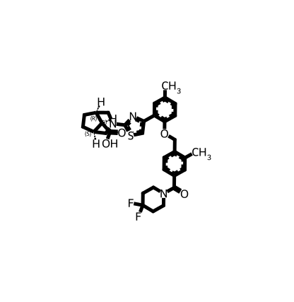 Cc1ccc(OCc2ccc(C(=O)N3CCC(F)(F)CC3)cc2C)c(-c2csc(N3C[C@H]4CC[C@@H](C3)[C@H]4C(=O)O)n2)c1